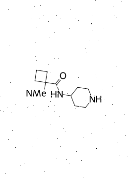 CNC1(C(=O)NC2CCNCC2)CCC1